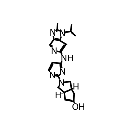 Cc1nc2cnc(Nc3ccnc(N4C[C@H]5C[C@@H](O)C[C@H]5C4)n3)cc2n1C(C)C